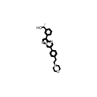 C[C@@H](O)c1cccc(-c2cnn3cc(-c4ccc(CCN5CCOCC5)cc4)cnc23)c1